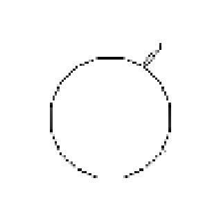 O=C1CCC[CH]CCCCCCCCCCC1